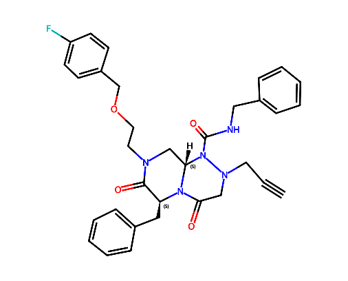 C#CCN1CC(=O)N2[C@@H](Cc3ccccc3)C(=O)N(CCOCc3ccc(F)cc3)C[C@@H]2N1C(=O)NCc1ccccc1